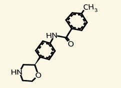 Cc1ccc(C(=O)Nc2ccc([C@@H]3CNCCO3)cc2)cc1